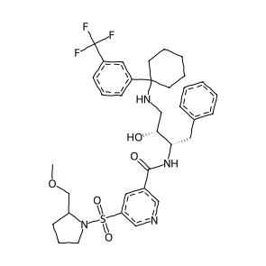 COCC1CCCN1S(=O)(=O)c1cncc(C(=O)N[C@@H](Cc2ccccc2)[C@H](O)CNC2(c3cccc(C(F)(F)F)c3)CCCCC2)c1